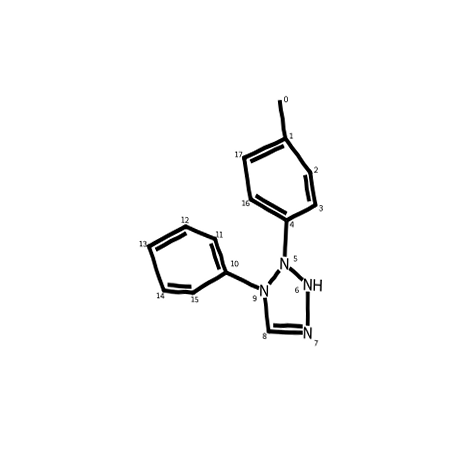 Cc1ccc(N2NN=CN2c2ccccc2)cc1